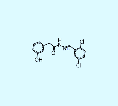 O=C(Cc1cccc(O)c1)N/N=C/c1cc(Cl)ccc1Cl